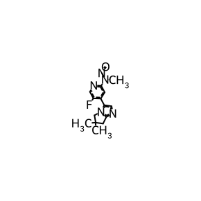 CN(N=O)c1cc(-c2cnc3n2CC(C)(C)C3)c(F)cn1